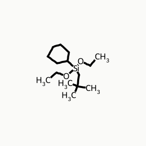 CCO[Si](CC(C)(C)C)(OCC)C1CCCCC1